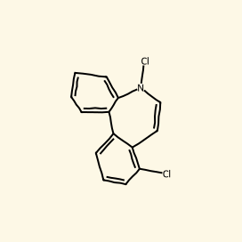 Clc1cccc2c1C=CN(Cl)c1ccccc1-2